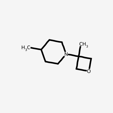 CC1CCN(C2(C)COC2)CC1